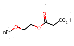 CCCOCCOC(=O)CC(=O)O